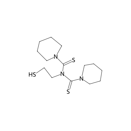 S=C(N1CCCCC1)N(CCS)C(=S)N1CCCCC1